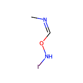 C/N=C\ONI